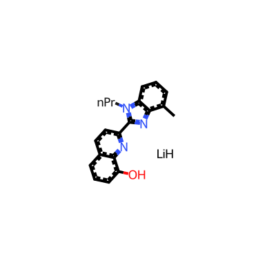 CCCn1c(-c2ccc3cccc(O)c3n2)nc2c(C)cccc21.[LiH]